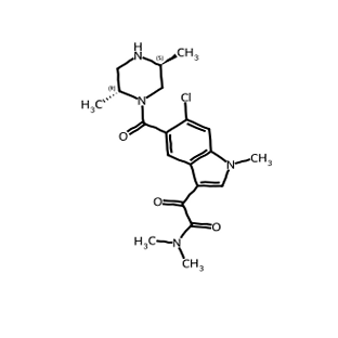 C[C@@H]1CN[C@@H](C)CN1C(=O)c1cc2c(C(=O)C(=O)N(C)C)cn(C)c2cc1Cl